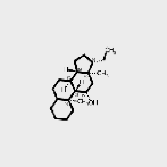 CC[C@H]1CC[C@H]2[C@@H]3CCC4CCCC[C@]4(C)[C@H]3[C@@H](O)C[C@]12C